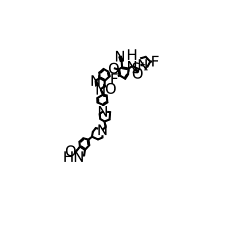 N#Cc1c(N[S+]([O-])N2CCC(F)C2)ccc(F)c1Oc1ccc2ncn(-c3ccc(N4CCC(CN5CCC(c6ccc7c(c6)CNC7=O)CC5)CC4)cc3)c(=O)c2c1